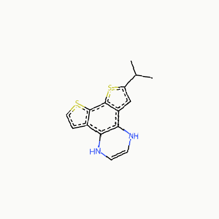 CC(C)c1cc2c3c(c4ccsc4c2s1)NC=CN3